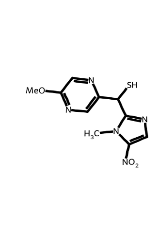 COc1cnc(C(S)c2ncc([N+](=O)[O-])n2C)cn1